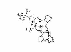 CC(C)C[C@@H](NC(=O)c1ccccc1OCc1ncc(C(C)(C)C)o1)C(=O)N1CCC[C@@H]1c1nnn[nH]1